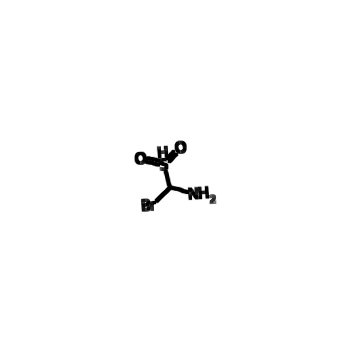 NC(Br)[SH](=O)=O